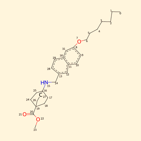 CCCCCCCOc1ccc2cc(CNC34CCC(C(=O)OC)(CC3)CC4)ccc2c1